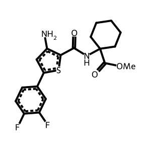 COC(=O)C1(NC(=O)c2sc(-c3ccc(F)c(F)c3)cc2N)CCCCC1